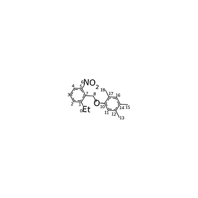 CCc1cccc([N+](=O)[O-])c1COc1cc(C)c(C)cc1C